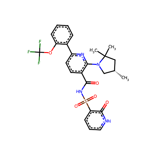 C[C@@H]1CN(c2nc(-c3ccccc3OC(F)(F)F)ccc2C(=O)NS(=O)(=O)c2ccc[nH]c2=O)C(C)(C)C1